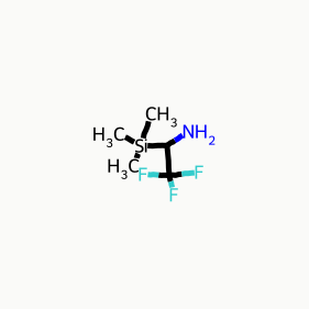 C[Si](C)(C)C(N)C(F)(F)F